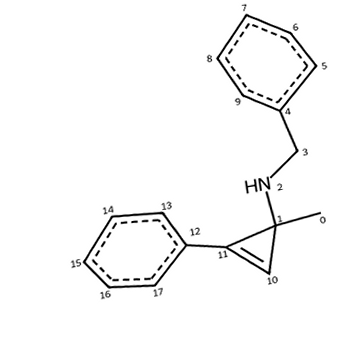 CC1(NCc2ccccc2)C=C1c1ccccc1